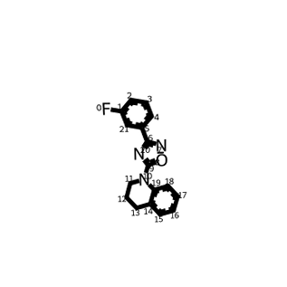 Fc1cccc(-c2noc(N3CCCc4ccccc43)n2)c1